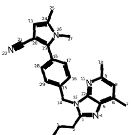 CCCc1nc2c(C)cc(C)nc2n1Cc1ccc(-c2c(C#N)cc(C)n2C)cc1